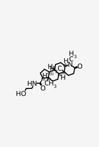 CN1C(=O)CC[C@]2(C)[C@H]3CC[C@]4(C)[C@@H](C(=O)NCCO)CC[C@H]4[C@@H]3CC[C@@H]12